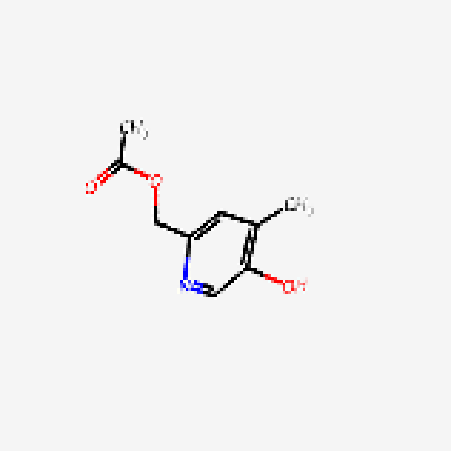 CC(=O)OCc1cc(C)c(O)cn1